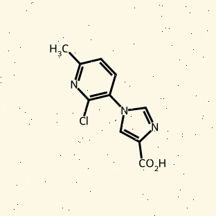 Cc1ccc(-n2cnc(C(=O)O)c2)c(Cl)n1